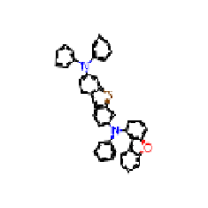 c1ccc(N(c2ccccc2)c2ccc3c(c2)sc2cc(N(c4ccccc4)c4cccc5oc6ccccc6c45)ccc23)cc1